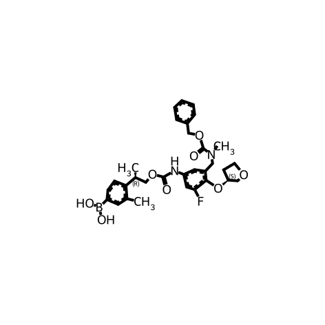 Cc1cc(B(O)O)ccc1[C@@H](C)COC(=O)Nc1cc(F)c(O[C@H]2CCOC2)c(CN(C)C(=O)OCc2ccccc2)c1